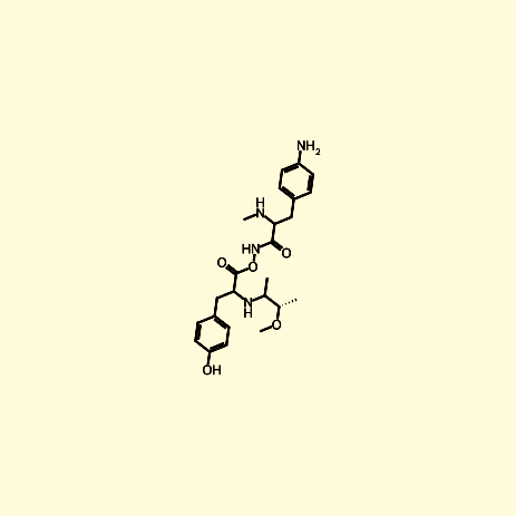 CNC(Cc1ccc(N)cc1)C(=O)NOC(=O)C(Cc1ccc(O)cc1)NC(C)[C@H](C)OC